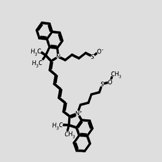 COSCCCC[N+]1=C(/C=C/C=C/C=C/C=C2\N(CCCCS[O-])c3ccc4ccccc4c3C2(C)C)C(C)(C)c2c1ccc1c2C=CCC1